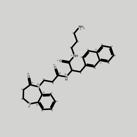 NCCCNC(=O)C(Cc1ccc2ccccc2c1)NC(=O)CCN1C(=O)CCSc2ccccc21